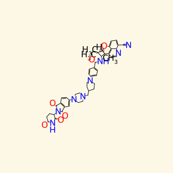 CC1(C)C(NC(=O)c2ccc(N3CCC(CN4CCN(c5ccc6c(c5)C(=O)N(C5CCC(=O)NC5=O)C6=O)CC4)CC3)cc2)C2(C)c3ccnc4c(C#N)ccc(c34)O[C@@H]12